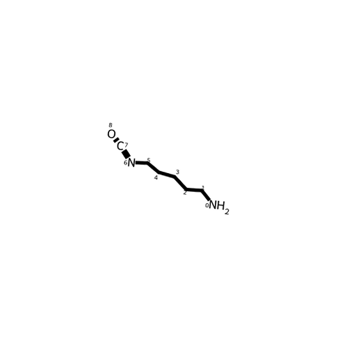 NCCCCCN=C=O